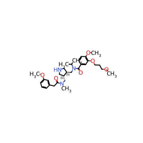 COCCCOc1cc(C(=O)N(C[C@@H]2CNC[C@H]2CN(C)C(=O)Cc2cccc(OC)c2)C(C)C)ccc1OC